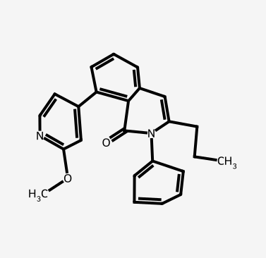 CCCc1cc2cccc(-c3ccnc(OC)c3)c2c(=O)n1-c1ccccc1